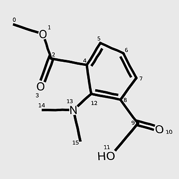 COC(=O)c1cccc(C(=O)O)c1N(C)C